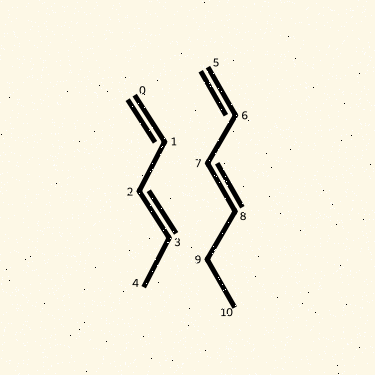 C=CC=CC.C=CC=CCC